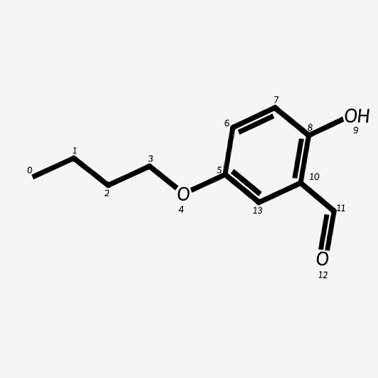 CCCCOc1ccc(O)c(C=O)c1